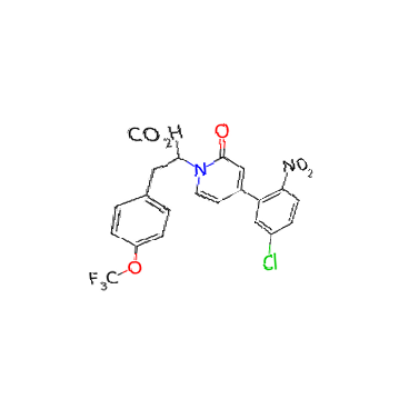 O=C(O)C(Cc1ccc(OC(F)(F)F)cc1)n1ccc(-c2cc(Cl)ccc2[N+](=O)[O-])cc1=O